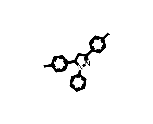 Cc1ccc(C2=NN(c3ccccc3)C(c3ccc(C)cc3)C2)cc1